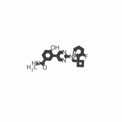 CNC(=O)c1ccc(O)c(-c2cnc(NCC3(c4ncccc4F)CCC3)nc2)c1